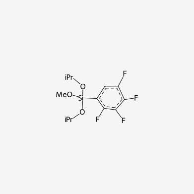 CO[Si](OC(C)C)(OC(C)C)c1cc(F)c(F)c(F)c1F